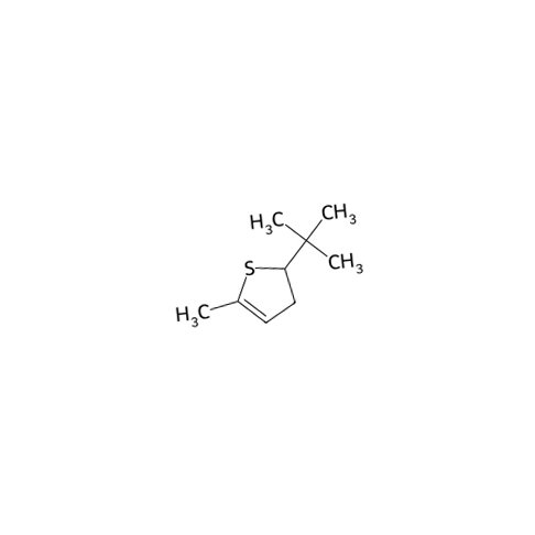 CC1=CCC(C(C)(C)C)S1